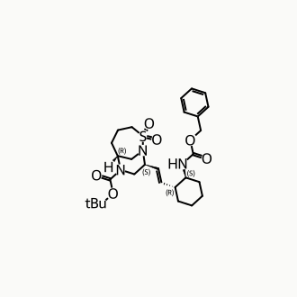 CC(C)(C)OC(=O)N1C[C@H](C=C[C@H]2CCCC[C@@H]2NC(=O)OCc2ccccc2)N2C[C@H]1CCCS2(=O)=O